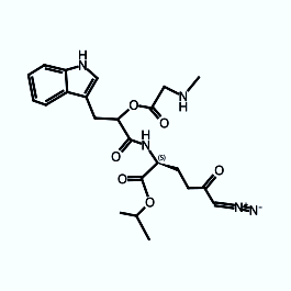 CNCC(=O)OC(Cc1c[nH]c2ccccc12)C(=O)N[C@@H](CCC(=O)C=[N+]=[N-])C(=O)OC(C)C